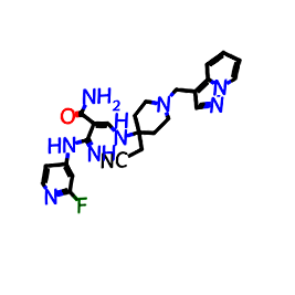 N#CCC1(N/C=C(\C(=N)Nc2ccnc(F)c2)C(N)=O)CCN(Cc2cnn3ccccc23)CC1